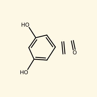 C=C.C=O.Oc1cccc(O)c1